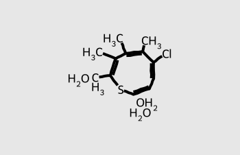 Cc1scccc(Cl)c(C)c(C)c1C.O.O.O